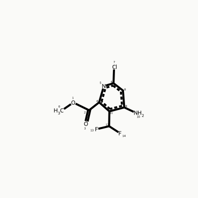 COC(=O)c1nc(Cl)cc(N)c1C(F)F